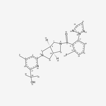 Cc1cc(N2C[C@H]3CN(C(=O)c4c(F)cccc4-n4nccn4)C[C@H]3C2)nc(C(C)(C)O)c1